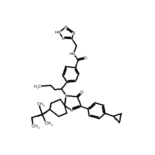 CCCC(c1ccc(C(=O)NCc2nn[nH]n2)cc1)N1C(=O)C(c2ccc(C3CC3)cc2)=NC12CCC(C(C)(C)CC)CC2